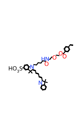 C=Cc1ccc(C(=O)OCCOCCNC(=O)CCCCCN2/C(=C/C=C/C=C/C3=Nc4ccccc4C3(C)C)C(C)(C)c3cc(S(=O)(=O)O)ccc32)cc1